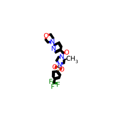 C[C@H]1CN(S(=O)(=O)c2ccc(C(F)(F)F)cc2)CCN1C(=O)c1ccc(N2CCOCC2)nc1